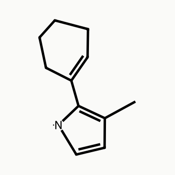 CC1=C(C2=CCCCC2)[N]C=C1